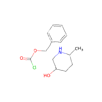 CC1CCC(O)CN1.O=C(Cl)OCc1ccccc1